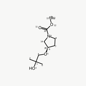 CC(C)(O)CO[C@@H]1CCN(C(=O)OC(C)(C)C)C1